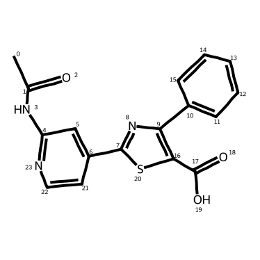 CC(=O)Nc1cc(-c2nc(-c3ccccc3)c(C(=O)O)s2)ccn1